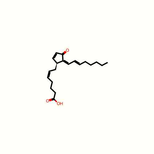 CCCCC/C=C/C=C1\C(=O)C=C[C@@H]1C/C=C\CCCC(=O)O